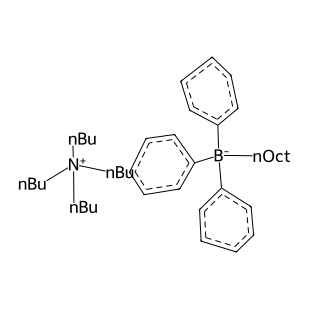 CCCCCCCC[B-](c1ccccc1)(c1ccccc1)c1ccccc1.CCCC[N+](CCCC)(CCCC)CCCC